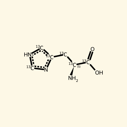 N[13C@@H]([13CH2][13c]1[13cH][nH][13cH]n1)[13C](=O)O